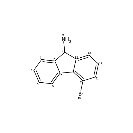 NC1c2ccccc2-c2c(Br)cccc21